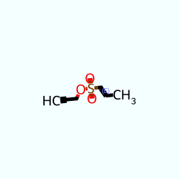 C#CCOS(=O)(=O)/C=C/C